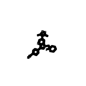 Cc1noc(C)c1-c1cnc2c(-c3ccc(C#N)cc3)cn(CC3(F)CCCCC3)c2c1